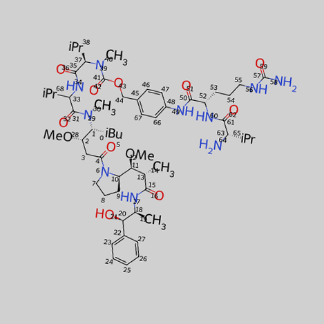 CC[C@@H](C)[C@H]([C@H](CC(=O)N1CCC[C@@H]1[C@@H](OC)[C@H](C)C(=O)N[C@@H](C)[C@H](O)c1ccccc1)OC)N(C)C(=O)C(NC(=O)[C@@H](C(C)C)N(C)C(=O)OCc1ccc(NC(=O)[C@H](CCCNC(N)=O)NC(=O)[C@@H](N)C(C)C)cc1)C(C)C